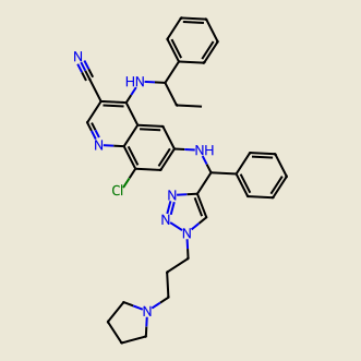 CCC(Nc1c(C#N)cnc2c(Cl)cc(NC(c3ccccc3)c3cn(CCCN4CCCC4)nn3)cc12)c1ccccc1